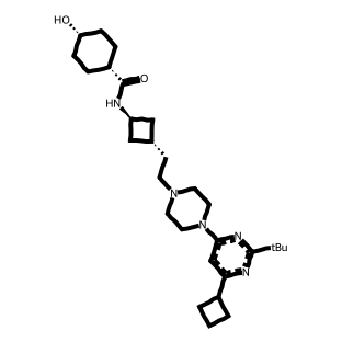 CC(C)(C)c1nc(C2CCC2)cc(N2CCN(CC[C@H]3C[C@H](NC(=O)[C@H]4CC[C@@H](O)CC4)C3)CC2)n1